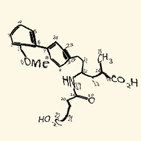 COc1ccccc1-c1ccc(CC(CC(C)C(=O)O)NC(=O)CCC(=O)O)cc1